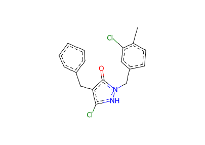 Cc1ccc(Cn2[nH]c(Cl)c(Cc3ccccc3)c2=O)cc1Cl